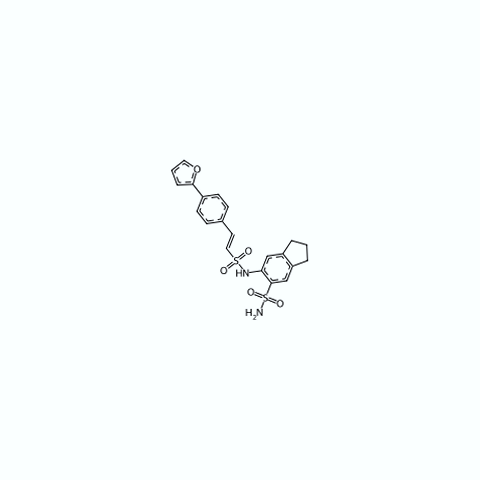 NS(=O)(=O)c1cc2c(cc1NS(=O)(=O)C=Cc1ccc(-c3ccco3)cc1)CCC2